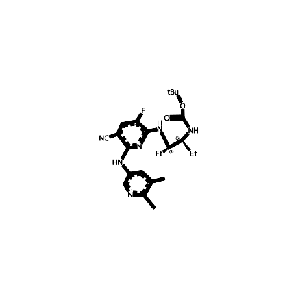 CC[C@H](NC(=O)OC(C)(C)C)[C@@H](CC)Nc1nc(Nc2cnc(C)c(C)c2)c(C#N)cc1F